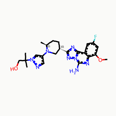 COc1cc(F)cc2c1nc(N)n1nc([C@H]3CC[C@H](C)N(c4cnn(C(C)(C)CO)c4)C3)nc21